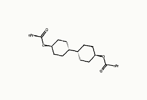 CCCC(=O)O[C@H]1CC[C@H]([C@H]2CC[C@H](OC(=O)CCC)CC2)CC1